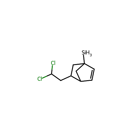 [SiH3]C12C=CC(C1)C(CC(Cl)Cl)C2